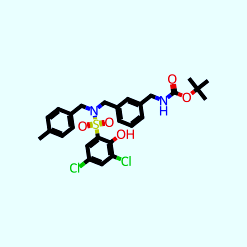 Cc1ccc(CN(Cc2cccc(CNC(=O)OC(C)(C)C)c2)S(=O)(=O)c2cc(Cl)cc(Cl)c2O)cc1